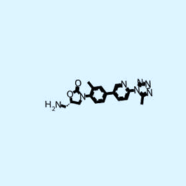 Cc1cc(-c2ccc(-n3nnnc3C)nc2)ccc1N1C[C@H](CN)OC1=O